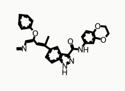 C=N/C=C(\C=C(/C)c1ccc2[nH]nc(C(=O)Nc3ccc4c(c3)OCCO4)c2c1)Oc1ccccc1